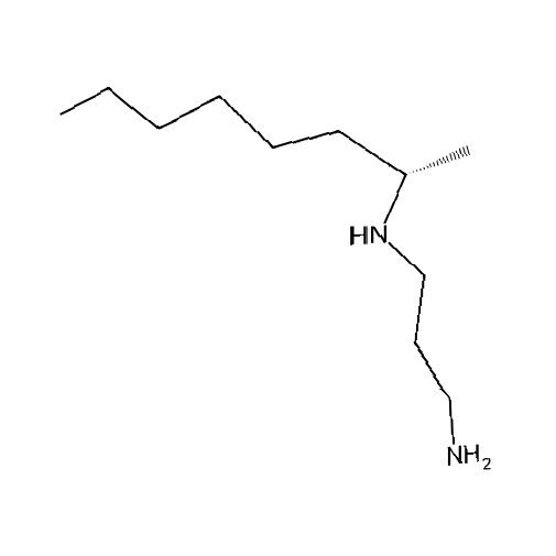 CCCCCC[C@H](C)NCCCN